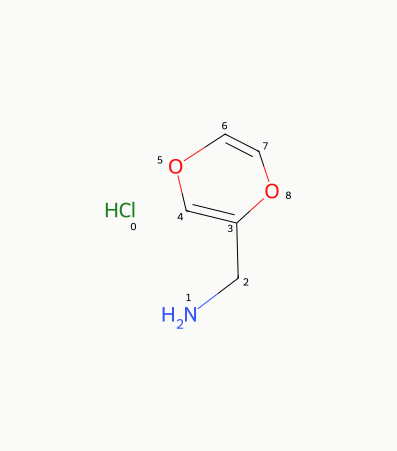 Cl.NCC1=COC=CO1